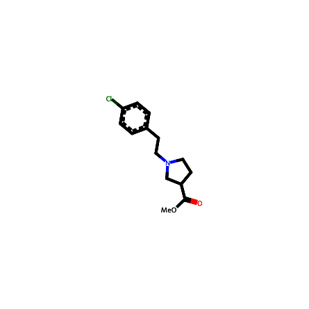 COC(=O)C1CCN(CCc2ccc(Cl)cc2)C1